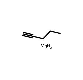 C#CCCC.[MgH2]